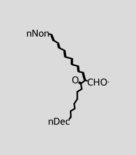 CCCCCCCCCC=CC=CC=CC=CC=CC=C([C]=O)C(=O)CCCCCCCCCCCCCCCCC